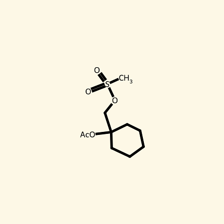 CC(=O)OC1(COS(C)(=O)=O)CCCCC1